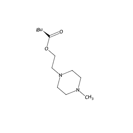 CC[C@H](C)C(=O)OCCN1CCN(C)CC1